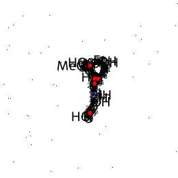 CC[C@H]1OC(=O)[C@H](C)[C@@H](O[C@H]2C[C@@](C)(OC)[C@@H](O)[C@H](C)O2)[C@H](C)[C@@H](O[C@H]2C[C@@H](N(C)CC/C(=C/NC[C@H](O)COc3ccc([N+](=O)O)cc3)N=N)C[C@@H](C)O2)[C@](C)(O)C[C@@H](C)CN(C)[C@H](C)[C@@H](O)[C@]1(C)O